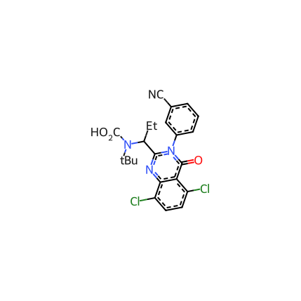 CCC(c1nc2c(Cl)ccc(Cl)c2c(=O)n1-c1cccc(C#N)c1)N(C(=O)O)C(C)(C)C